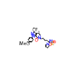 COc1ccc(-n2nc(C(F)(F)F)c3c2C(=O)N(CCCCC(=NS(C)(=O)=O)N2CCCC2)CC3)cc1